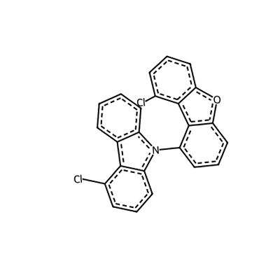 Clc1cccc2oc3cccc(-n4c5ccccc5c5c(Cl)cccc54)c3c12